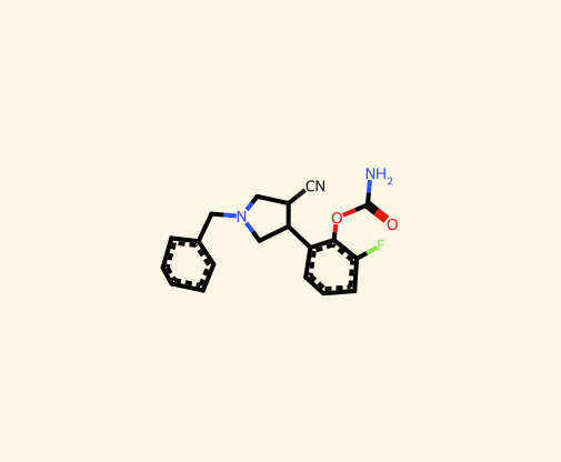 N#CC1CN(Cc2ccccc2)CC1c1cccc(F)c1OC(N)=O